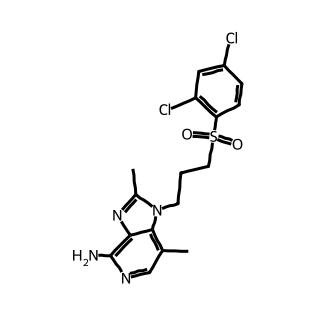 Cc1cnc(N)c2nc(C)n(CCCS(=O)(=O)c3ccc(Cl)cc3Cl)c12